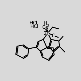 C[CH2][Zr](=[GeH2])([CH2]C)([C]1=C(C)C(C)=C(C)C1C)[CH]1C=C(c2ccccc2)c2ccccc21.Cl.Cl